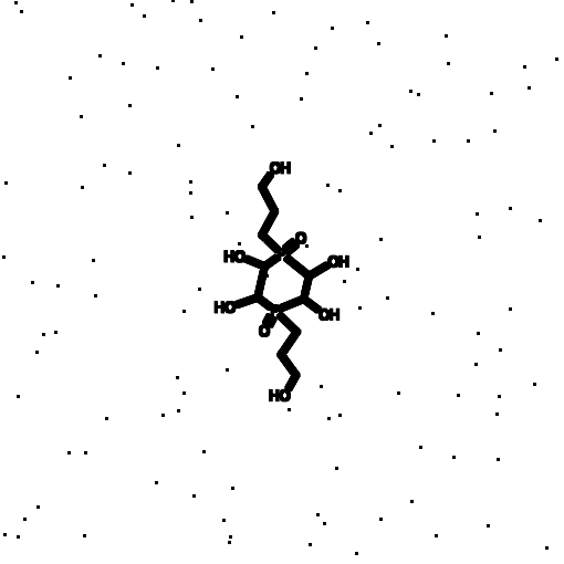 O=P1(CCCO)C(O)C(O)P(=O)(CCCO)C(O)C1O